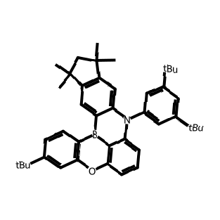 CC(C)(C)c1cc(N2c3cc4c(cc3B3c5ccc(C(C)(C)C)cc5Oc5cccc2c53)C(C)(C)CC4(C)C)cc(C(C)(C)C)c1